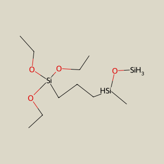 CCO[Si](CCC[SiH](C)O[SiH3])(OCC)OCC